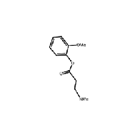 CNCCC(=O)Oc1ccccc1OC